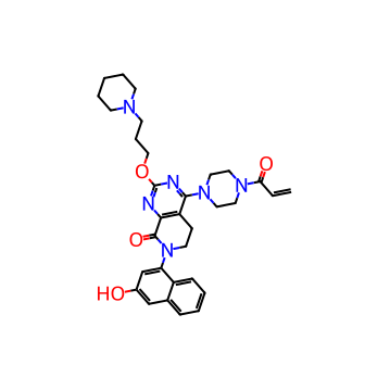 C=CC(=O)N1CCN(c2nc(OCCCN3CCCCC3)nc3c2CCN(c2cc(O)cc4ccccc24)C3=O)CC1